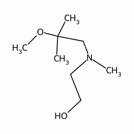 COC(C)(C)CN(C)CCO